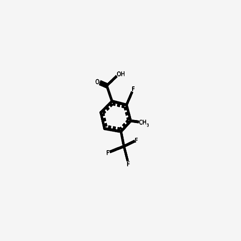 Cc1c(C(F)(F)F)ccc(C(=O)O)c1F